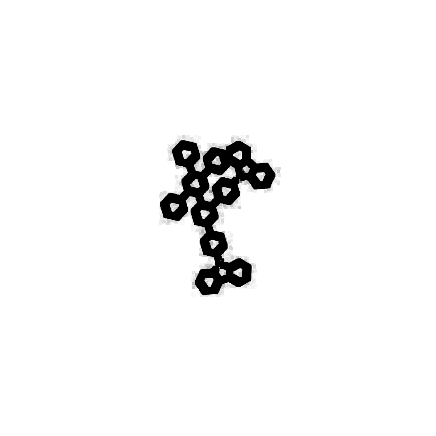 c1ccc(-c2cc(-c3ccccc3)c(-c3ccc(-c4ccc(-n5c6ccccc6c6ccccc65)cc4)cc3-c3ccc(-n4c5ccccc5c5ccccc54)cc3)cc2-c2ccccc2)cc1